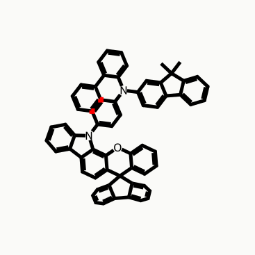 CC1(C)c2ccccc2-c2ccc(N(c3ccc(-n4c5ccccc5c5ccc6c(c54)Oc4ccccc4C64c5ccccc5-c5ccccc54)cc3)c3ccccc3-c3ccccc3)cc21